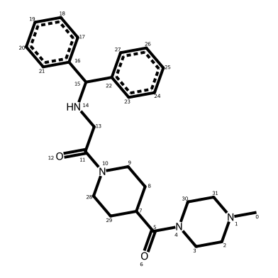 CN1CCN(C(=O)C2CCN(C(=O)CNC(c3ccccc3)c3ccccc3)CC2)CC1